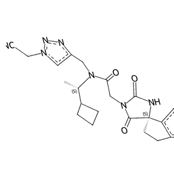 C[C@@H](C1CCC1)N(Cc1cn(CC#N)nn1)C(=O)CN1C(=O)N[C@]2(CCc3ccccc32)C1=O